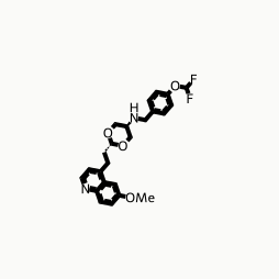 COc1ccc2nccc(CC[C@H]3OC[C@H](NCc4ccc(OC(F)F)cc4)CO3)c2c1